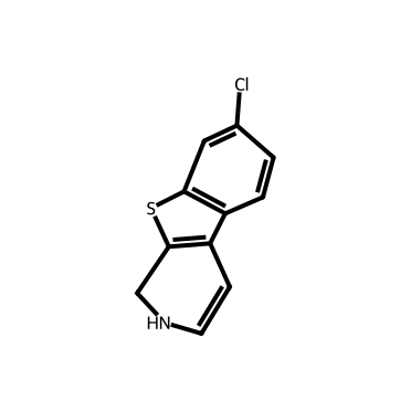 Clc1ccc2c3c(sc2c1)CNC=C3